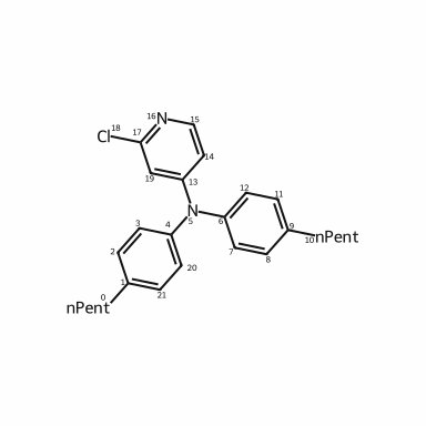 CCCCCc1ccc(N(c2ccc(CCCCC)cc2)c2ccnc(Cl)c2)cc1